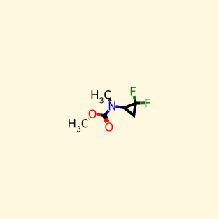 COC(=O)N(C)C1CC1(F)F